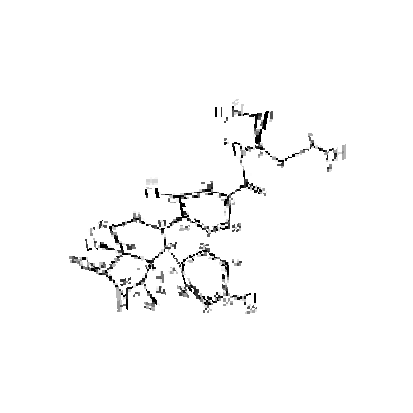 C=C(O/C(CCO)=N\N)c1ccc([C@@H]2CC[C@@]3(CC)C(=O)N[C@H](C)[C@H]3[C@H]2c2ccc(Cl)cc2)c(Cl)c1